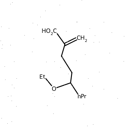 C=C(CCC(CCC)OCC)C(=O)O